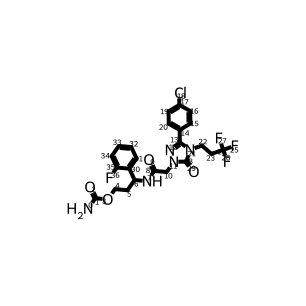 NC(=O)OCCC(NC(=O)Cn1nc(-c2ccc(Cl)cc2)n(CCC(F)(F)F)c1=O)c1ccccc1F